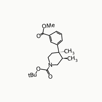 COC(=O)c1cccc([C@]2(C)CCN(C(=O)OC(C)(C)C)C[C@@H]2C)c1